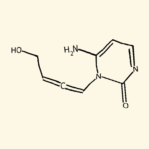 Nc1ccnc(=O)n1C=C=CCO